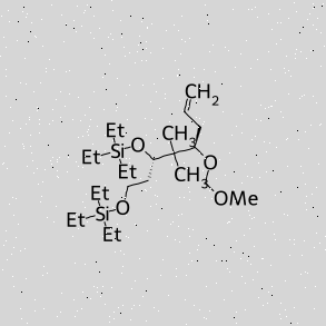 C=CC[C@@H](OCOC)C(C)(C)[C@H](CCO[Si](CC)(CC)CC)O[Si](CC)(CC)CC